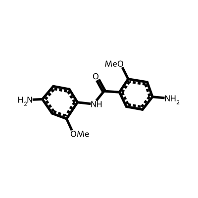 COc1cc(N)ccc1NC(=O)c1ccc(N)cc1OC